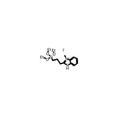 CCO[Si](CCCc1[nH]c2ccccc2[n+]1C)(OCC)OCC.[I-]